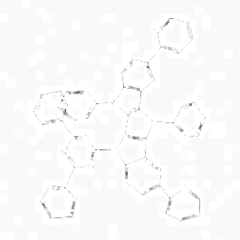 c1ccc(-c2nc(-c3ccccc3)nc(-n3c4ccc(-c5ccccn5)cc4c4c3c3c(c5cc(-c6ccccn6)ccc5n3-c3ccccc3)n4-c3ccccc3)n2)cc1